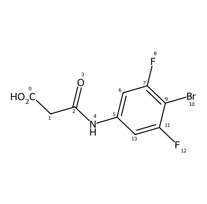 O=C(O)CC(=O)Nc1cc(F)c(Br)c(F)c1